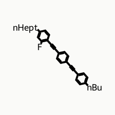 CCCCCCCc1ccc(C#Cc2ccc(C#Cc3ccc(CCCC)cc3)cc2)c(F)c1